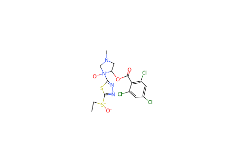 CC[S+]([O-])c1nnc([N+]2([O-])CN(C)CC2OC(=O)c2c(Cl)cc(Cl)cc2Cl)s1